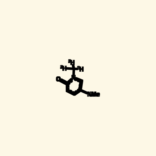 [2H]C([2H])([2H])n1cc(NC)ccc1=O